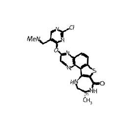 CNCc1cnc(Cl)nc1Oc1cnc2c(ccc3sc4c(c32)NC[C@@H](C)NC4=O)n1